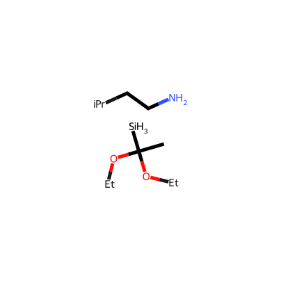 CC(C)CCN.CCOC(C)([SiH3])OCC